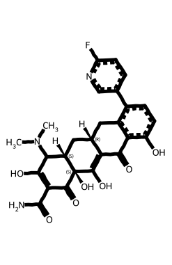 CN(C)C1C(O)=C(C(N)=O)C(=O)[C@@]2(O)C(O)=C3C(=O)c4c(O)ccc(-c5ccc(F)nc5)c4C[C@H]3C[C@@H]12